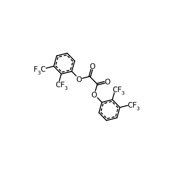 O=C(Oc1cccc(C(F)(F)F)c1C(F)(F)F)C(=O)Oc1cccc(C(F)(F)F)c1C(F)(F)F